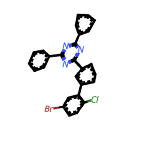 Clc1ccc(Br)cc1-c1cccc(-c2nc(-c3ccccc3)nc(-c3ccccc3)n2)c1